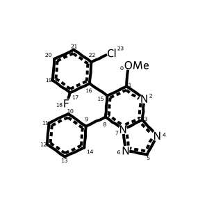 COc1nc2ncnn2c(-c2ccccc2)c1-c1c(F)cccc1Cl